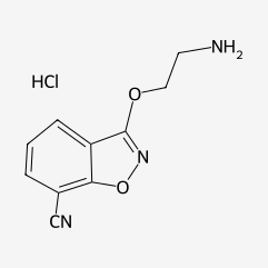 Cl.N#Cc1cccc2c(OCCN)noc12